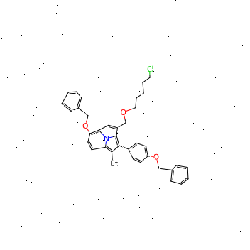 CCc1c(-c2ccc(OCc3ccccc3)cc2)c2c(COCCCCCCl)cc3c(OCc4ccccc4)ccc1n32